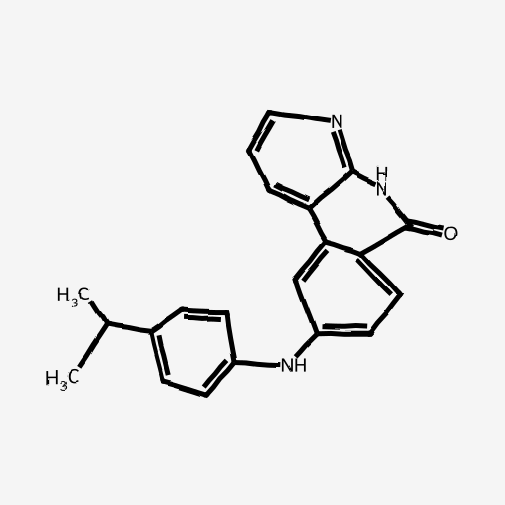 CC(C)c1ccc(Nc2ccc3c(=O)[nH]c4ncccc4c3c2)cc1